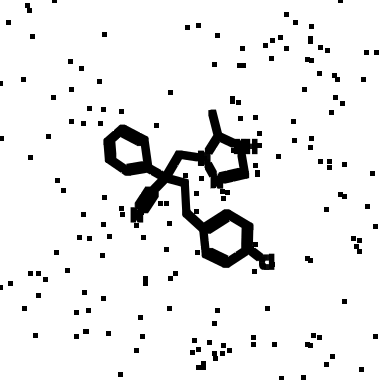 CC1NC=NN1CC(C#N)(CCc1ccc(Cl)cc1)c1ccccc1